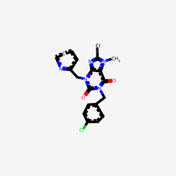 CCc1nc2c(c(=O)n(Cc3ccc(Cl)cc3)c(=O)n2Cc2ccccn2)n1C